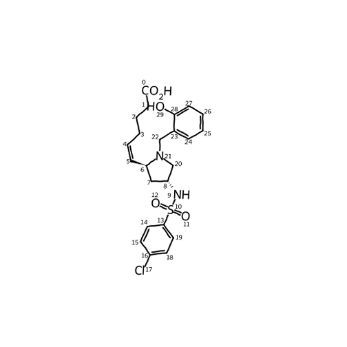 O=C(O)CCC/C=C\[C@@H]1C[C@@H](NS(=O)(=O)c2ccc(Cl)cc2)CN1Cc1ccccc1O